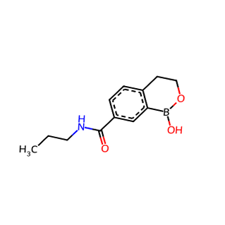 CCCNC(=O)c1ccc2c(c1)B(O)OCC2